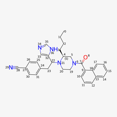 CCCC[C@H]1CN(C(=O)c2cccc3ccccc23)CCN1C(Cc1ccc(C#N)cc1)c1cnc[nH]1